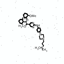 COc1ccccc1ON(C(=O)c1cnc(Nc2ccc(N3CCN(CCCN(C)C)CC3)cc2)nc1)c1c(C)cccc1C